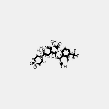 C#C[C@@H](Nc1nc(=O)n(C)c(N)c1/C=C(\N)N1CCS(=O)(=O)CC1)c1cccc(C(F)(F)F)c1F